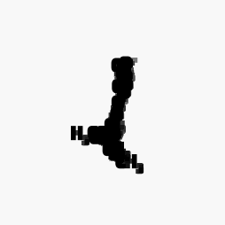 COC(=O)CC1=C(C)C(=Cc2cc(C)cs2)c2cc(F)c(OCCOCCOCCOC(=O)Oc3ccc([N+](=O)[O-])cc3)cc21